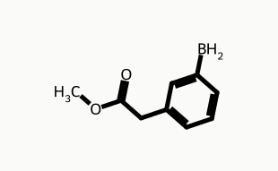 Bc1cccc(CC(=O)OC)c1